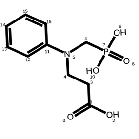 O=C(O)CCN(CP(=O)(O)O)c1ccccc1